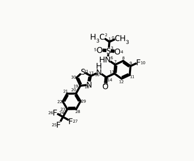 CC(C)S(=O)(=O)Nc1cc(F)ccc1C(=O)Nc1nc(-c2ccc(C(F)(F)F)cc2)cs1